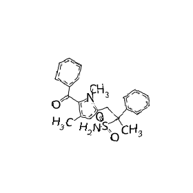 Cc1cc(CC(C)(c2ccccc2)S(N)(=O)=O)n(C)c1C(=O)c1ccccc1